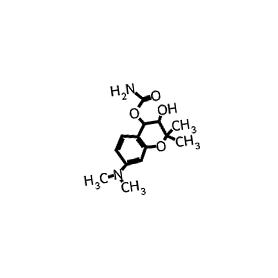 CN(C)c1ccc2c(c1)OC(C)(C)C(O)C2OC(N)=O